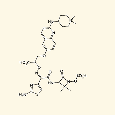 CC1(C)C(NC(=O)/C(=N\OC(COc2ccc3nc(NC4CC[N+](C)(C)CC4)ccc3c2)C(=O)O)c2csc(N)n2)C(=O)N1OS(=O)(=O)O